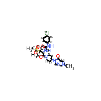 CN1C=C2C(=O)N(C3CCN(C(=O)[C@H](NC(=O)Nc4ccc(Cl)cc4)C(C)(C)S(C)(=O)=O)CC3)CN2C1